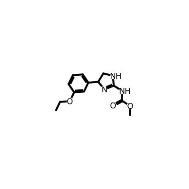 CCOc1cccc(C2CNC(NC(=O)OC)=N2)c1